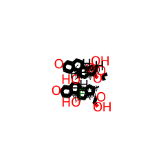 CC1(C)O[C@@H]2C[C@H]3[C@@H]4CCC5=CC(=O)C=C[C@]5(C)[C@H]4[C@@H](O)C[C@]3(C)[C@]2(C(=O)CO)O1.C[C@@H]1C[C@H]2[C@@H]3CCC4=CC(=O)C=C[C@]4(C)[C@@]3(F)[C@@H](O)C[C@]2(C)[C@H]1C(=O)CO